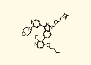 CCCCOc1ccnc(F)c1-c1ccc2c(c1)c(-c1ccnc(N3CCOCC3)c1)nn2COCC[Si](C)(C)C